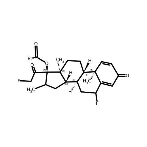 CCC(=O)O[C@]1(C(=O)CF)C(C)C[C@H]2[C@@H]3CC(F)C4=CC(=O)C=C[C@]4(C)[C@H]3CC[C@@]21C